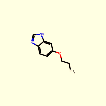 CCCOc1ccc2nc[nH]c2c1